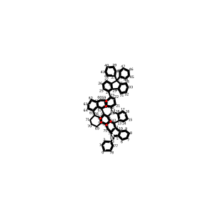 c1ccc(-n2c3ccccc3c3c(-c4ccccc4N(c4ccc(-c5cccc6c5-c5ccccc5C6(c5ccccc5)c5ccccc5)cc4)c4ccccc4-c4cccc5cccc(C6CCCCC6)c45)cccc32)cc1